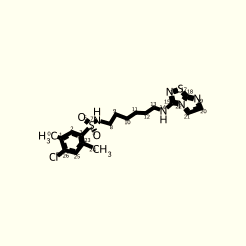 Cc1cc(S(=O)(=O)NCCCCCCNc2nsc3nccn23)c(C)cc1Cl